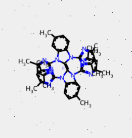 Cc1ccc2c(c1)N(c1nc(C)cc(C)n1)/C(=C1\N(c3nc(C)cc(C)n3)c3ccc(C)cc3N1c1nc(C)cc(C)n1)N2c1nc(C)cc(C)n1